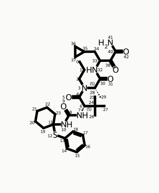 CCCN(C(=O)[C@@H](NC(=O)NC1(Sc2ccccc2)CCCCC1)C(C)(C)C)[C@@H](C)C(=O)NC(CC1CC1)C(=O)C(N)=O